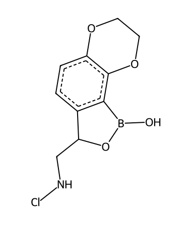 OB1OC(CNCl)c2ccc3c(c21)OCCO3